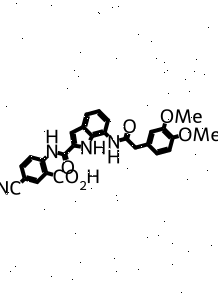 COc1ccc(CC(=O)Nc2cccc3cc(C(=O)Nc4ccc(C#N)cc4C(=O)O)[nH]c23)cc1OC